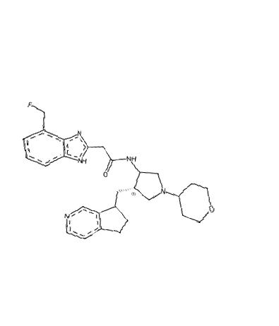 O=C(Cc1nc2c(CF)cccc2[nH]1)NC1CN(C2CCOCC2)C[C@@H]1CC1CCc2ccncc21